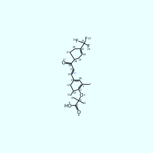 CC1=C(OC(C)(C)C(=O)O)C(C)CC(/C=C/C(=O)C2CC=C(C(F)(F)F)CC2)=C1